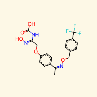 CC(=NOCc1ccc(C(F)(F)F)cc1)c1ccc(OCC(=NO)NC(=O)O)cc1